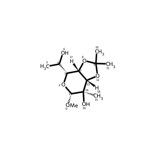 CO[C@@H]1O[C@H](C(C)O)[C@@H]2OC(C)(C)O[C@@H]2[C@@]1(C)O